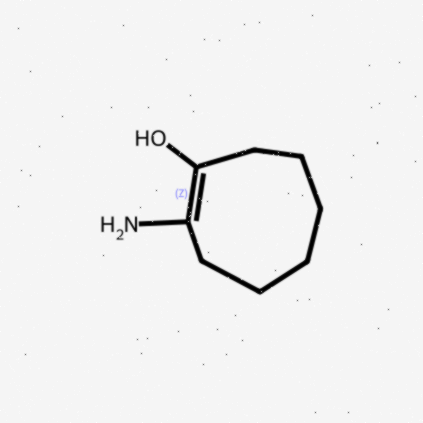 N/C1=C(\O)CCCCCC1